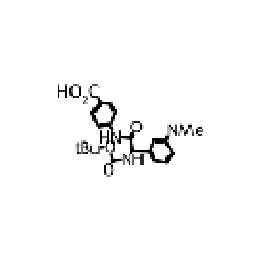 CNc1cccc(C(NC(=O)OC(C)(C)C)C(=O)Nc2ccc(C(=O)O)cc2)c1